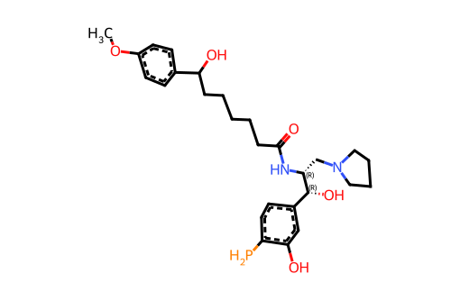 COc1ccc(C(O)CCCCCC(=O)N[C@H](CN2CCCC2)[C@H](O)c2ccc(P)c(O)c2)cc1